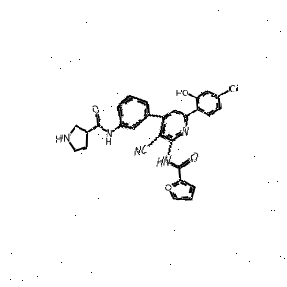 N#Cc1c(-c2cccc(NC(=O)C3CCNC3)c2)cc(-c2ccc(Cl)cc2O)nc1NC(=O)c1ccco1